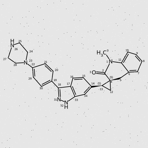 CN1C(=O)[C@]2(Cc3ccccc31)C[C@H]2c1ccc2c(-c3ccc(N4CCNCC4)cc3)n[nH]c2c1